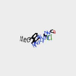 COc1cccc2nc(Nc3cnn(C4CCOCC4)c3Cl)c3[nH]ncc3c12